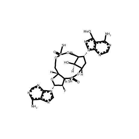 COc1nn([C@@H]2C[C@@H]3OP(=O)(S)[C@H]4[C@@H](F)[C@H](n5cnc6c(N)ncnc65)O[C@@H]4COP(=O)(S)O[C@@H]2[C@@H]3O)c2ncnc(N)c12